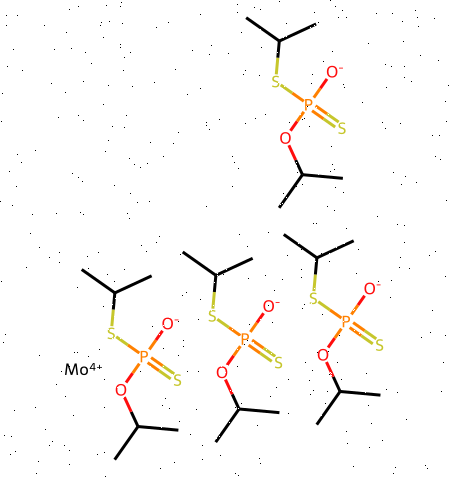 CC(C)OP([O-])(=S)SC(C)C.CC(C)OP([O-])(=S)SC(C)C.CC(C)OP([O-])(=S)SC(C)C.CC(C)OP([O-])(=S)SC(C)C.[Mo+4]